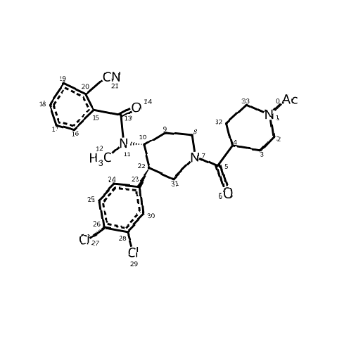 CC(=O)N1CCC(C(=O)N2CC[C@@H](N(C)C(=O)c3ccccc3C#N)[C@H](c3ccc(Cl)c(Cl)c3)C2)CC1